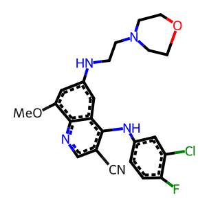 COc1cc(NCCN2CCOCC2)cc2c(Nc3ccc(F)c(Cl)c3)c(C#N)cnc12